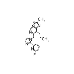 CCCc1c(Cn2ccnc2-c2cccc(F)n2)ncn2nc(C)nc12